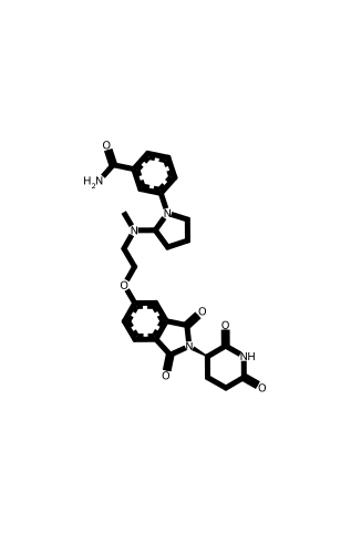 CN(CCOc1ccc2c(c1)C(=O)N([C@@H]1CCC(=O)NC1=O)C2=O)C1CCCN1c1cccc(C(N)=O)c1